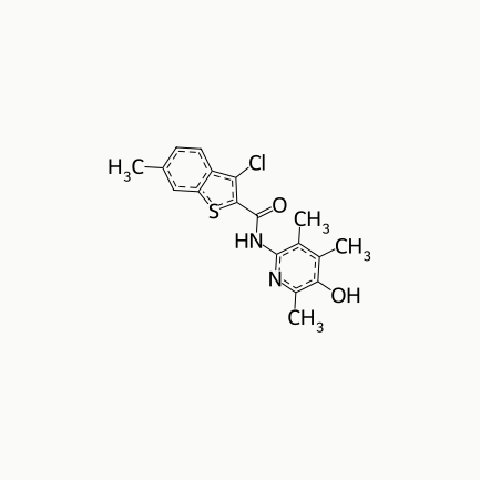 Cc1ccc2c(Cl)c(C(=O)Nc3nc(C)c(O)c(C)c3C)sc2c1